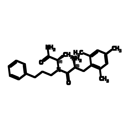 Cc1cc(C)c(C[C@H](N)C(=O)N(CCCc2ccccc2)[C@H](C)C(N)=O)c(C)c1